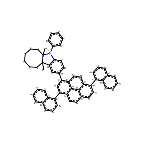 CC12CCCCCCC1(C)N(c1ccccc1)c1ccc(-c3cc(-c4cccc5ccccc45)c4ccc5ccc(-c6cccc7ccccc67)c6ccc3c4c56)cc12